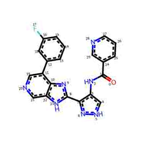 O=C(Nc1c[nH]nc1-c1nc2c(-c3cccc(F)c3)cncc2[nH]1)c1cccnc1